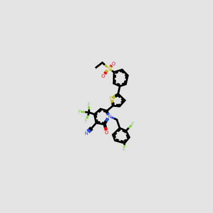 CCS(=O)(=O)c1cccc(-c2ccc(-c3cc(C(F)(F)F)c(C#N)c(=O)n3Cc3ccc(F)cc3F)s2)c1